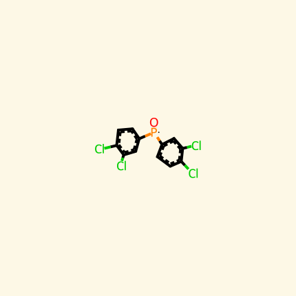 O=[P](c1ccc(Cl)c(Cl)c1)c1ccc(Cl)c(Cl)c1